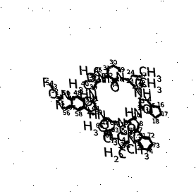 C=CC(C)(C)n1cc(C[C@@H]2NC(=O)[C@H](CC3CCCC3)NC(=O)[C@H](CC(C)C)N3CCC[C@@H](C3=O)N(C)C(=O)[C@H](C)NC(=O)[C@H](Cc3ccc4nc(OCF)ncc4c3)NC(=O)[C@H](CC(C)C)N(C)C2=O)c2ccccc21